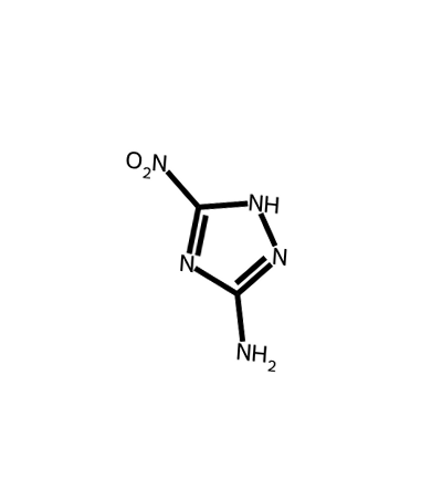 Nc1n[nH]c([N+](=O)[O-])n1